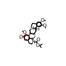 CCC[C@H]1CN2CCc3cc(OC)c(OC)cc3[C@@H]2C[C@@H]1C[C@@H]1c2cc(OC)c(OC)cc2CCN1C(=O)OC(C)C